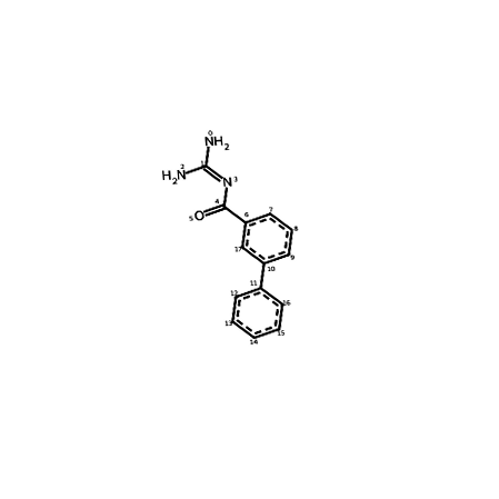 NC(N)=NC(=O)c1cccc(-c2ccccc2)c1